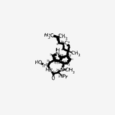 C=C[C@@](C)(CCC=C(C)C)c1ccc2c3c(c[nH]c13)C[C@@H](CO)NC(=O)[C@H](C(C)C)N2C